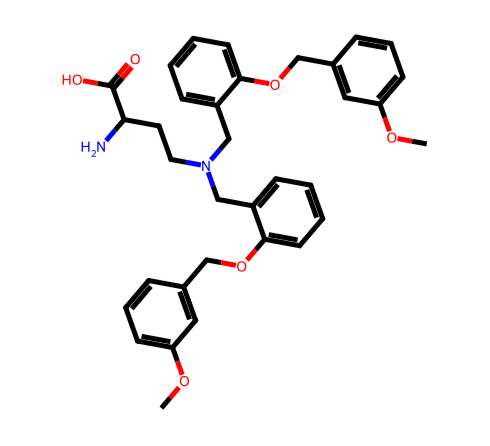 COc1cccc(COc2ccccc2CN(CCC(N)C(=O)O)Cc2ccccc2OCc2cccc(OC)c2)c1